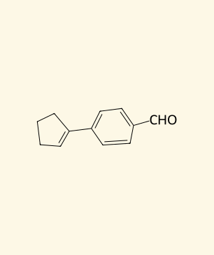 O=Cc1ccc(C2=CCCC2)cc1